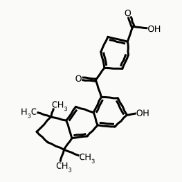 CC1(C)CCC(C)(C)c2cc3c(C(=O)c4ccc(C(=O)O)cc4)cc(O)cc3cc21